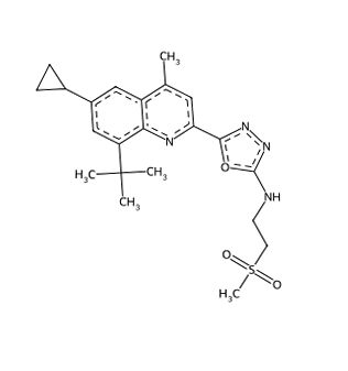 Cc1cc(-c2nnc(NCCS(C)(=O)=O)o2)nc2c(C(C)(C)C)cc(C3CC3)cc12